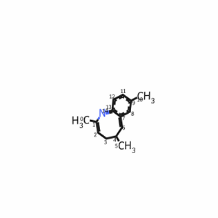 CC1=C\CC(C)/C=c2/cc(C)cc/c2=N/1